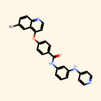 N#Cc1ccc2nccc(Oc3ccc(C(=O)Nc4cccc(Nc5ccncc5)c4)cc3)c2c1